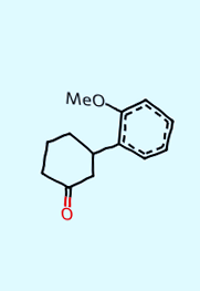 COc1ccccc1C1CCCC(=O)C1